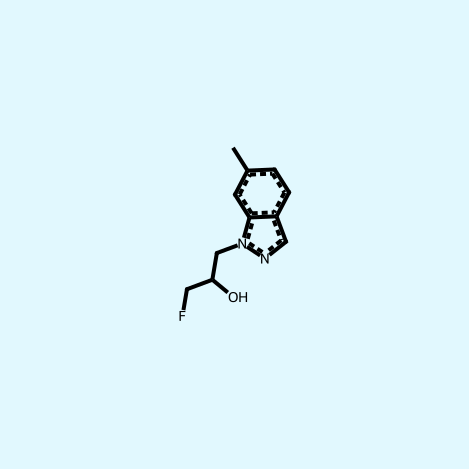 Cc1ccc2cnn(CC(O)CF)c2c1